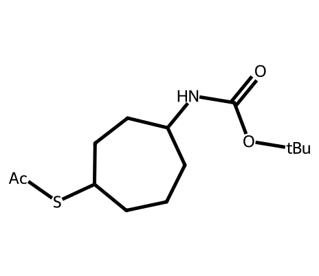 CC(=O)SC1CCCC(NC(=O)OC(C)(C)C)CC1